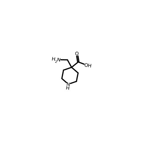 NCC1(C(=O)O)CCNCC1